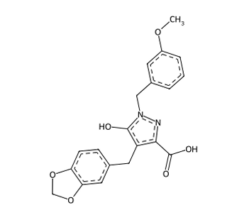 COc1cccc(Cn2nc(C(=O)O)c(Cc3ccc4c(c3)OCO4)c2O)c1